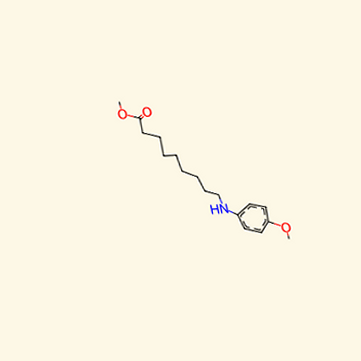 COC(=O)CCCCCCCCNc1ccc(OC)cc1